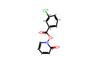 O=C(On1ccccc1=O)c1cccc(Cl)c1